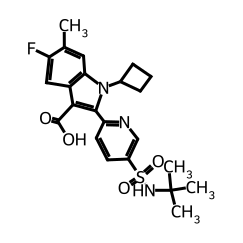 Cc1cc2c(cc1F)c(C(=O)O)c(-c1ccc(S(=O)(=O)NC(C)(C)C)cn1)n2C1CCC1